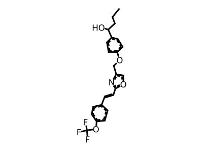 CCCC(O)c1ccc(OCc2coc(C=Cc3ccc(OC(F)(F)F)cc3)n2)cc1